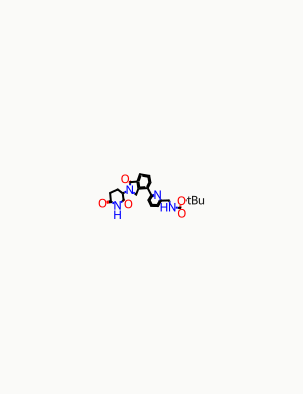 CC(C)(C)OC(=O)NCc1cccc(-c2cccc3c2CN(C2CCC(=O)NC2=O)C3=O)n1